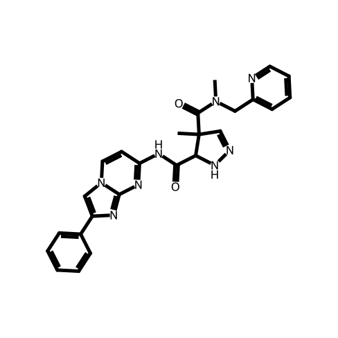 CN(Cc1ccccn1)C(=O)C1(C)C=NNC1C(=O)Nc1ccn2cc(-c3ccccc3)nc2n1